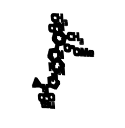 COCOc1c(-c2ccc3nc(N4CC[C@@H](N(C(=O)OC(C)(C)C)C5CC5)C4)ncc3n2)cc2oc(C)nc2c1C